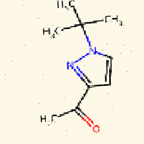 CC(=O)c1ccn(C(C)(C)C)n1